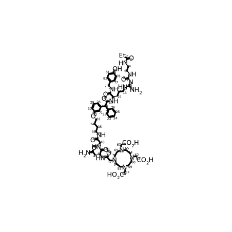 CCC(=O)NCCNC(=O)/N=C(/N)NCCC[C@@H](NC(=O)C(c1ccccc1)c1cccc(OCCCCNC(=O)CNC(=O)[C@@H](CC(N)=O)NC(=O)CN2CCN(CC(=O)O)CCN(CC(=O)O)CCN(CC(=O)O)CC2)c1)C(=O)NCc1ccc(O)cc1